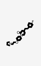 O=c1cc(CCc2ccc(F)cc2)ccn1-c1ccc(OCCN2CCCC2)cc1